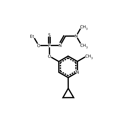 CCOP(=S)(N=CN(C)C)Oc1cc(C)nc(C2CC2)c1